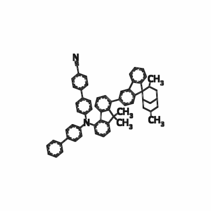 CC1CC2CC(C)C3(c4ccccc4-c4cc(-c5cccc6c5C(C)(C)c5cccc(N(c7ccc(-c8ccccc8)cc7)c7ccc(-c8ccc(C#N)cc8)cc7)c5-6)ccc43)C(C1)C2